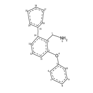 NCc1c(Oc2ccccc2)cccc1-c1ccccc1